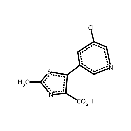 Cc1nc(C(=O)O)c(-c2cncc(Cl)c2)s1